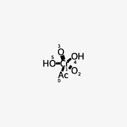 C[C](=O)[Cr](=[O])(=[O])([OH])[OH]